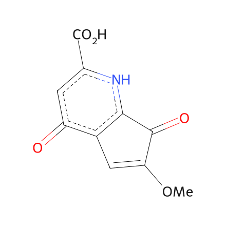 COC1=Cc2c([nH]c(C(=O)O)cc2=O)C1=O